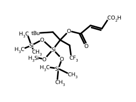 CC(C)(C)CC(CC(F)(F)F)(OC(=O)C=CC(=O)O)[Si](O[SiH3])(O[Si](C)(C)C)O[Si](C)(C)C